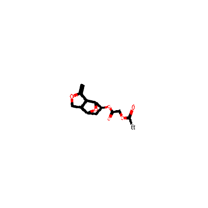 C=C1OCC2C3CC(OC(=O)COC(=O)CC)C(O3)C12